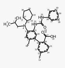 CC(C)CN(c1cc(F)c(-c2cc(F)ccc2C(=O)O)cc1NC(=O)Nc1cncnc1)C1CCCCC1